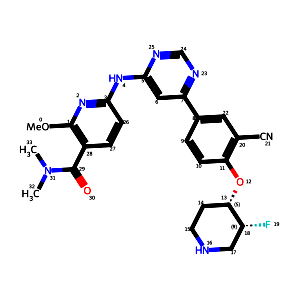 COc1nc(Nc2cc(-c3ccc(O[C@H]4CCNC[C@H]4F)c(C#N)c3)ncn2)ccc1C(=O)N(C)C